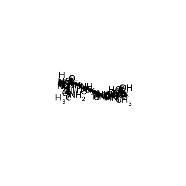 C[C@H](N)C(=O)NC(Cc1c[nH]cn1)C(=O)N[C@@H](CCCCNC(=O)CCCCCC(=O)NNc1ccc(C(=O)N[C@H](C)C(=O)N2CCC[C@H]2B(O)O)cc1)C(=O)O